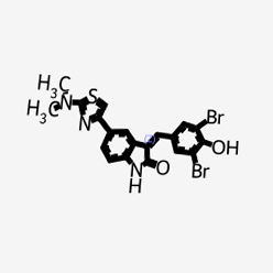 CN(C)c1nc(-c2ccc3c(c2)/C(=C/c2cc(Br)c(O)c(Br)c2)C(=O)N3)cs1